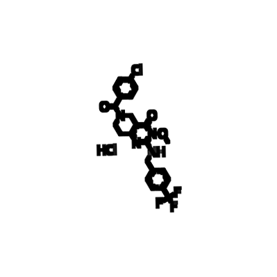 COn1c(NCc2ccc(C(F)(F)F)cc2)nc2c(c1=O)CN(C(=O)c1ccc(Cl)cc1)CC2.Cl